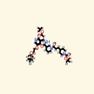 CC(C)(C)OC(=O)C[C@H](NC(=O)C1CCCN(C(=O)CCC2CCN(C(=O)OC(C)(C)C)CC2)C1)c1cncc(OCCO[Si](C)(C)C(C)(C)C)c1